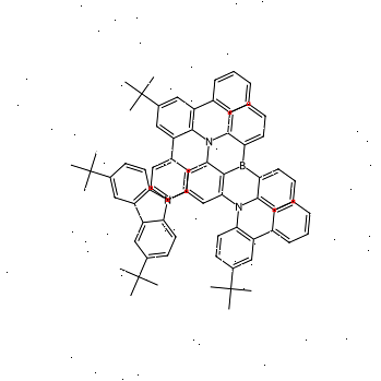 CC(C)(C)c1ccc(N2c3ccccc3B3c4ccccc4N(c4c(-c5ccccc5)cc(C(C)(C)C)cc4-c4ccccc4)c4cc(-n5c6ccc(C(C)(C)C)cc6c6cc(C(C)(C)C)ccc65)cc2c43)c(-c2ccccc2)c1